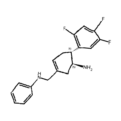 N[C@H]1CC(CNc2ccccc2)=CC[C@@H]1c1cc(F)c(F)cc1F